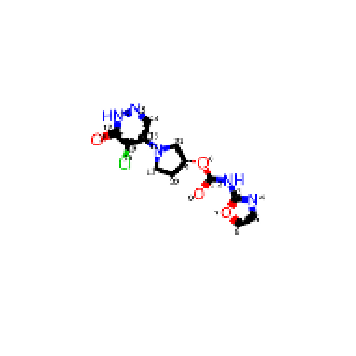 O=C(Nc1ncco1)O[C@@H]1CCN(c2cn[nH]c(=O)c2Cl)C1